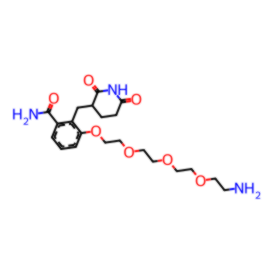 NCCOCCOCCOCCOc1cccc(C(N)=O)c1CC1CCC(=O)NC1=O